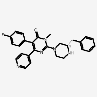 Cn1c(N2CCN[C@@H](Cc3ccccc3)C2)nc(-c2ccncc2)c(-c2ccc(F)cc2)c1=O